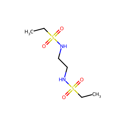 CCS(=O)(=O)NCCNS(=O)(=O)CC